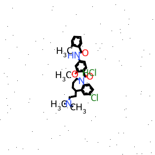 COc1cc(NC(=O)c2ccccc2C)ccc1C(=O)N1CCCC(CCN(C)C)c2cc(Cl)ccc21.Cl